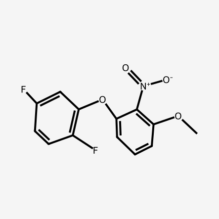 COc1cccc(Oc2cc(F)ccc2F)c1[N+](=O)[O-]